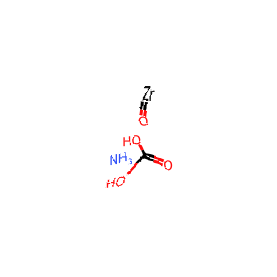 N.O=C(O)O.[O]=[Zr]